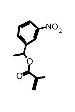 C=C(C)C(=O)OC(C)c1cccc([N+](=O)[O-])c1